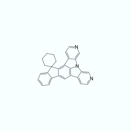 c1ccc2c(c1)-c1cc3c4ccncc4n4c5cnccc5c(c1C21CCCCC1)c34